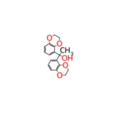 CC(O)(c1cccc2c1OCCO2)c1cccc2c1OCCO2